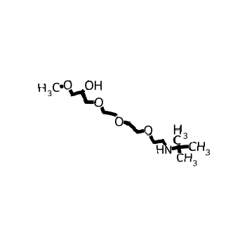 COCC(O)COCCOCCOCCNC(C)(C)C